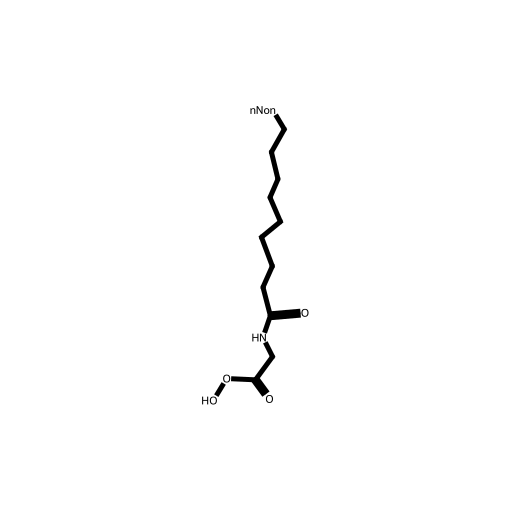 CCCCCCCCCCCCCCCCCC(=O)NCC(=O)OO